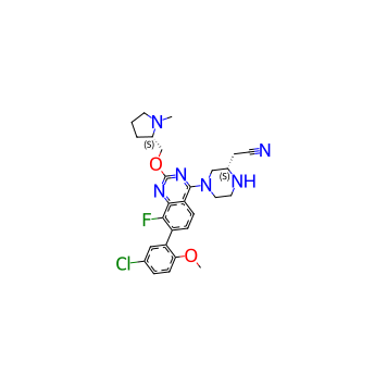 COc1ccc(Cl)cc1-c1ccc2c(N3CCN[C@@H](CC#N)C3)nc(OC[C@@H]3CCCN3C)nc2c1F